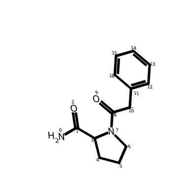 NC(=O)C1CCCN1C(=O)[CH]c1ccccc1